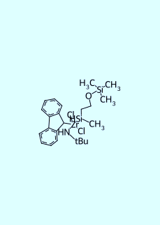 C[SiH](CCO[Si](C)(C)C)[Zr]([Cl])([Cl])([NH]C(C)(C)C)[CH]1c2ccccc2-c2ccccc21